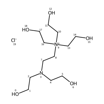 OCCN(CCO)CC[N+](CCO)(CCO)CCO.[Cl-]